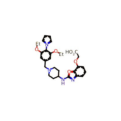 CCOc1cc(CN2CCC(Nc3nc4cccc(OCC(=O)O)c4o3)CC2)cc(OCC)c1-n1cccc1